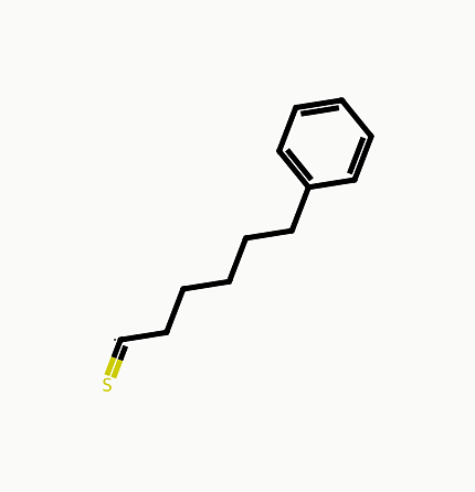 S=[C]CCCCCc1ccccc1